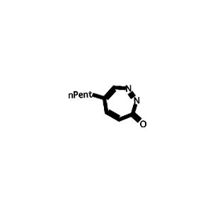 CCCCCc1ccc(=O)nnc1